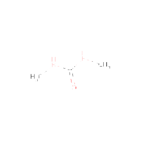 CBC(=O)BC